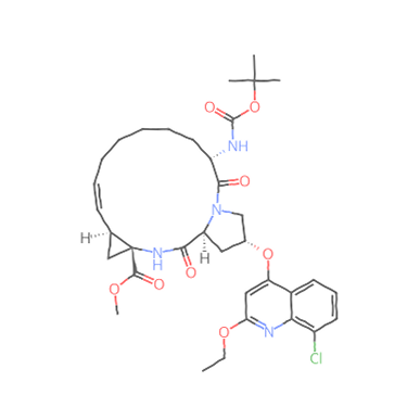 CCOc1cc(O[C@@H]2C[C@H]3C(=O)N[C@]4(C(=O)OC)C[C@H]4/C=C\CCCCC[C@H](NC(=O)OC(C)(C)C)C(=O)N3C2)c2cccc(Cl)c2n1